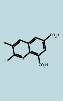 Cc1cc2cc(C(=O)O)cc(C(=O)O)c2nc1Cl